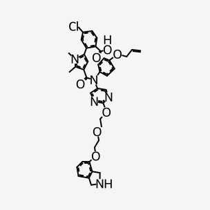 C=CCOc1ccc(N(C(=O)c2cc(-c3cc(Cl)ccc3C(=O)O)n(C)c2C)c2cnc(OCCOCCOc3cccc4c3CNC4)nc2)cc1